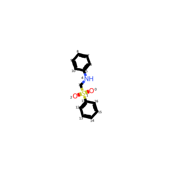 O=S(=O)(CNc1ccccc1)c1ccccc1